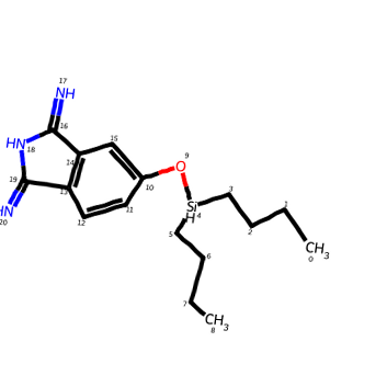 CCCC[SiH](CCCC)Oc1ccc2c(c1)C(=N)NC2=N